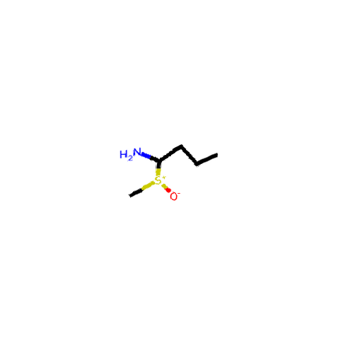 CCCC(N)[S+](C)[O-]